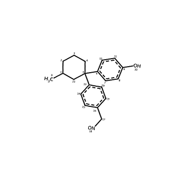 CC1CCCC(c2ccc(O)cc2)(c2ccc(CN=O)cc2)C1